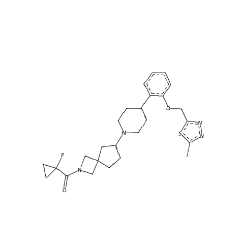 Cc1nnc(COc2ccccc2C2CCN(C3CCC4(C3)CN(C(=O)C3(F)CC3)C4)CC2)s1